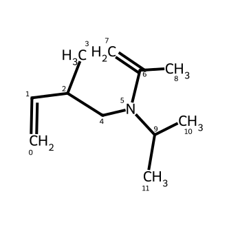 C=CC(C)CN(C(=C)C)C(C)C